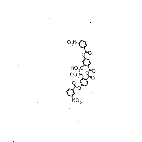 O=C(Oc1ccc(C(=O)OC(=O)c2ccc(OC(=O)c3cccc([N+](=O)[O-])c3)cc2C(=O)O)c(C(=O)O)c1)c1cccc([N+](=O)[O-])c1